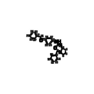 O=C(/N=C1/CCCN1Cc1ccccc1)Nc1ccc(OCc2ccccc2)cc1